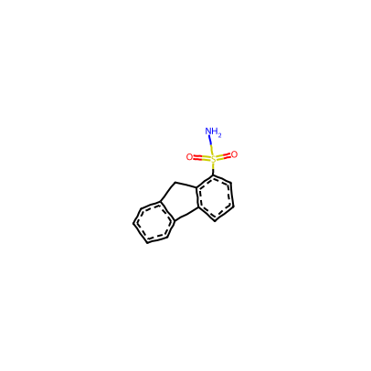 NS(=O)(=O)c1cccc2c1Cc1ccccc1-2